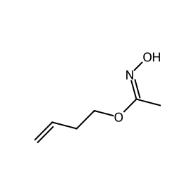 C=CCCOC(C)=NO